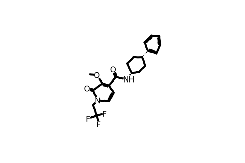 COc1c(C(=O)N[C@H]2CC[C@@H](c3ccccc3)CC2)ccn(CC(F)(F)F)c1=O